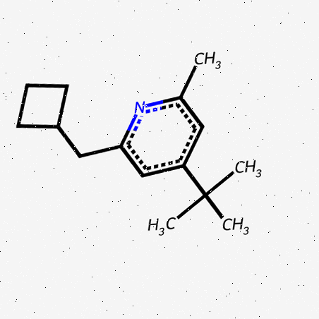 Cc1cc(C(C)(C)C)cc(CC2CCC2)n1